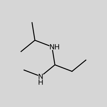 CCC(NC)NC(C)C